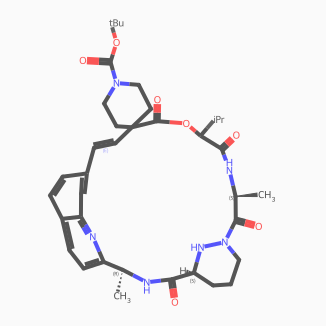 CC(C)C1OC(=O)C2(/C=C/c3ccc4ccc(nc4c3)[C@@H](C)NC(=O)[C@@H]3CCCN(N3)C(=O)[C@H](C)NC1=O)CCN(C(=O)OC(C)(C)C)CC2